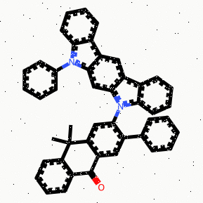 CC1(C)c2ccccc2C(=O)c2cc(-c3ccccc3)c(-n3c4ccccc4c4cc5c6ccccc6n(-c6ccccc6)c5cc43)cc21